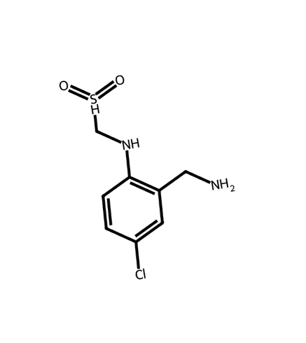 NCc1cc(Cl)ccc1NC[SH](=O)=O